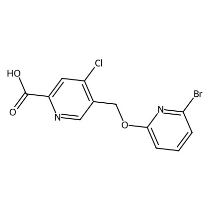 O=C(O)c1cc(Cl)c(COc2cccc(Br)n2)cn1